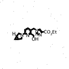 CCOC(=O)c1cn(Cc2ccc(N3CC4C[C@H]4C3)nc2CO)nn1